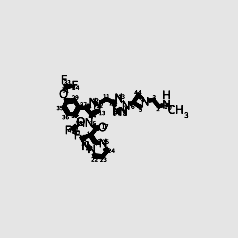 CNCCN1CC(n2nnc(Cn3cc(NC(=O)c4cnn5cccnc45)c(-c4cc(OC(F)F)ccc4OC(F)F)n3)n2)C1